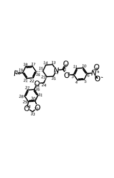 O=C(Oc1ccc([N+](=O)[O-])cc1)N1CC[C@@H](c2ccc(F)cc2)[C@H](COc2ccc3c(c2)OCO3)C1